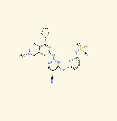 CN1CCc2c(cc(Nc3ncc(C#N)c(Nc4cccc(N=S(C)(C)=O)n4)n3)cc2C2CCCC2)C1